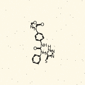 O=C(Nc1ccc(-n2ncoc2=O)cc1)N(c1ccccc1)n1[nH]nnc1=S